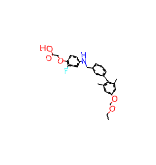 CCOCOc1cc(C)c(-c2cccc(CNc3ccc(OCC(=O)O)c(F)c3)c2)c(C)c1